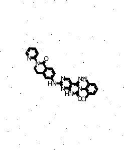 N=c1c2cnc(Nc3ccc4c(c3)CCN(c3ccccn3)C4=O)nc2[nH]c(=O)n1-c1c(Cl)cccc1Cl